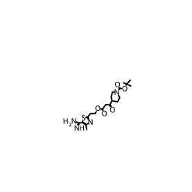 Cc1nc(CCOC(=O)CC(=O)C2CCN(C(=O)OC(C)(C)C)CC2)sc1C(=N)N